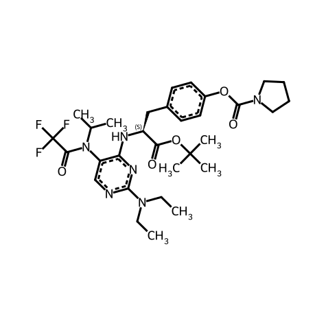 CCN(CC)c1ncc(N(C(=O)C(F)(F)F)C(C)C)c(N[C@@H](Cc2ccc(OC(=O)N3CCCC3)cc2)C(=O)OC(C)(C)C)n1